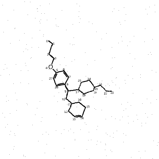 CCCCOc1ccc(C(CC2CC=CCC2)C2CCC(CCC)CC2)cc1